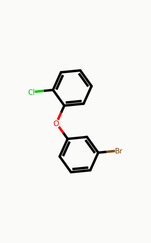 Clc1ccccc1Oc1cccc(Br)c1